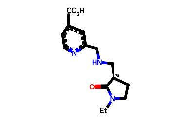 CCN1CC[C@H](CNCc2cc(C(=O)O)ccn2)C1=O